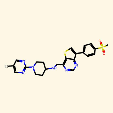 CCc1cnc(N2CCC(NCc3ncnc4c(-c5ccc(S(C)(=O)=O)cc5)csc34)CC2)nc1